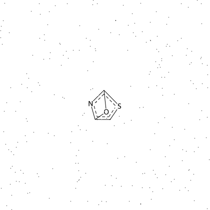 c1sc2nc1O2